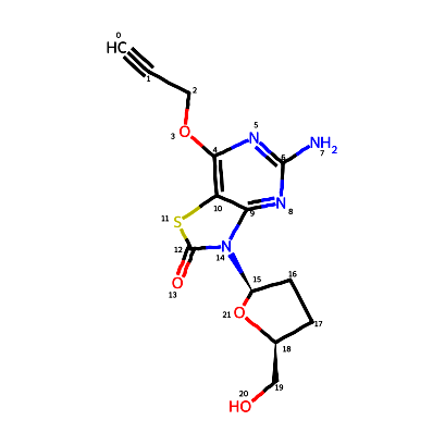 C#CCOc1nc(N)nc2c1sc(=O)n2[C@H]1CC[C@@H](CO)O1